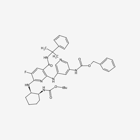 CC(C)(C)OC(=O)N[C@H]1CCCC[C@H]1Nc1nc(Nc2cncc(NC(=O)OCc3ccccc3)c2)c(C(=O)NC(C)(C)c2ccccc2)cc1F